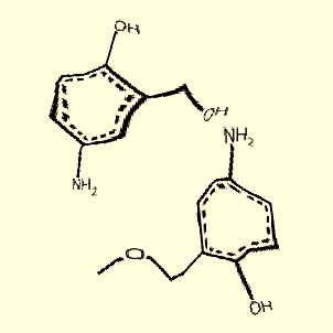 COCc1cc(N)ccc1O.Nc1ccc(O)c(CO)c1